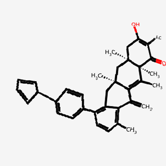 C=C1C2=C(C)[C@]3(C)C(=O)C(C(C)=O)=C(O)C[C@]3(C)C[C@]2(C)Cc2c(-c3ccc(C4C=CC=C4)cc3)ccc(C)c21